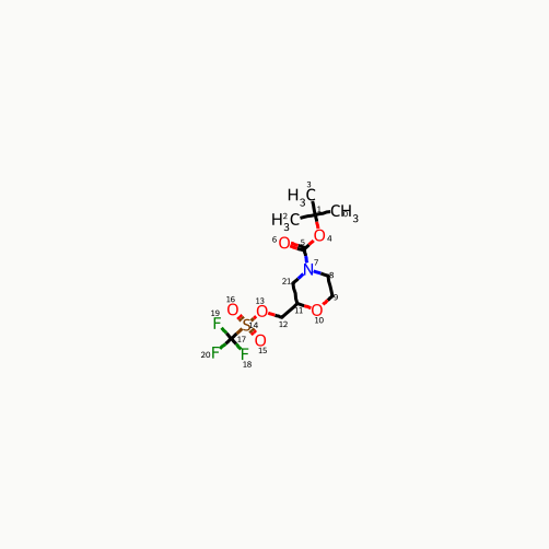 CC(C)(C)OC(=O)N1CCOC(COS(=O)(=O)C(F)(F)F)C1